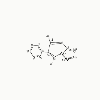 Cc1cc2ncnn2c(C)c1-c1ccccc1